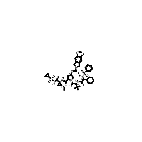 CC[C@H]1C[C@@]1(NC(=O)C1C[C@@H](OC(=O)N2Cc3cc4c(cc3C2)OCO4)CN1C(=O)[C@@H](NC(=O)[C@@H](NS(=O)(=O)c1ccccc1)C1CCCCC1)C(C)(C)C)C(=O)NS(=O)(=O)C1CC1